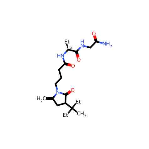 C=C1CC(C(C)(CC)CC)C(=O)N1CCCC(=O)N[C@@H](CC)C(=O)NCC(N)=O